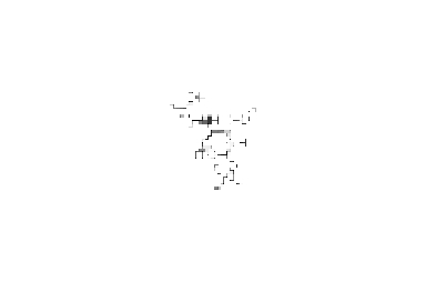 COC[C@H](NC(=O)OC(C)(C)C)C(=C=O)NCC(C)O